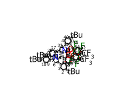 CC(C)(C)c1ccc(C2=CC(c3ccc(C(C)(C)C)cc3)=N/C2=C(/c2ccccc2)c2c(-c3ccc(C(C)(C)C)cc3)cc(-c3ccc(C(C)(C)C)cc3)n2B(Oc2c(F)c(F)c(C(F)(F)F)c(F)c2F)Oc2c(F)c(F)c(C(F)(F)F)c(F)c2F)cc1